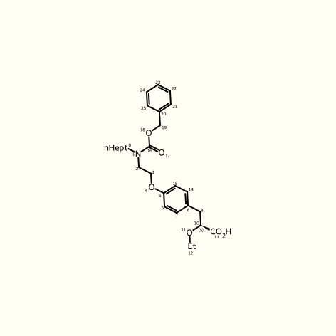 CCCCCCCN(CCOc1ccc(C[C@H](OCC)C(=O)O)cc1)C(=O)OCc1ccccc1